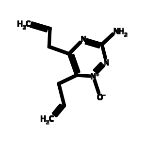 C=CCc1nc(N)n[n+]([O-])c1CC=C